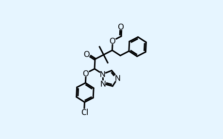 CC(C)(C(=O)C(Oc1ccc(Cl)cc1)n1cncn1)C(Cc1ccccc1)OC=O